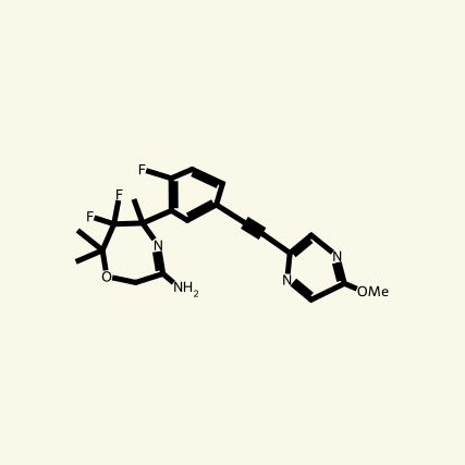 COc1cnc(C#Cc2ccc(F)c(C3(C)N=C(N)COC(C)(C)C3(F)F)c2)cn1